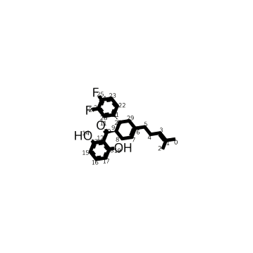 CC(C)=CCCC1=CC[C@@H](C(=O)c2c(O)cccc2O)[C@H](c2ccc(F)c(F)c2)C1